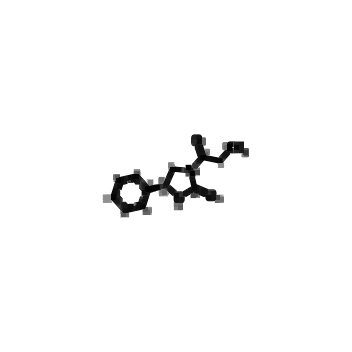 CCC(=O)N1C[C@H](c2ccccc2)OC1=O